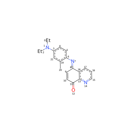 CCN(CC)c1ccc(N=C2C=CC(=O)c3ncccc32)c(C)c1